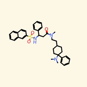 CN(CCC1CCC(c2ccccc2)(N(C)C)CC1)C(=O)CC(NS(=O)(=O)c1ccc2ccccc2c1)c1ccccc1